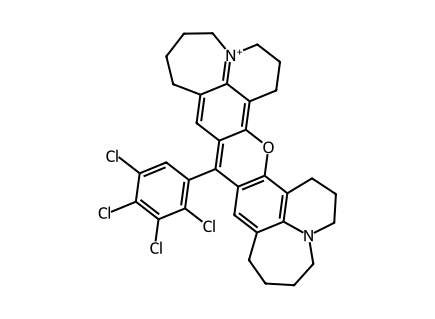 Clc1cc(C2=c3cc4c5c(c3Oc3c2cc2c6c3CCCN6CCCC2)CCC[N+]=5CCCC4)c(Cl)c(Cl)c1Cl